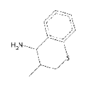 CC1CSc2ccccc2C1N